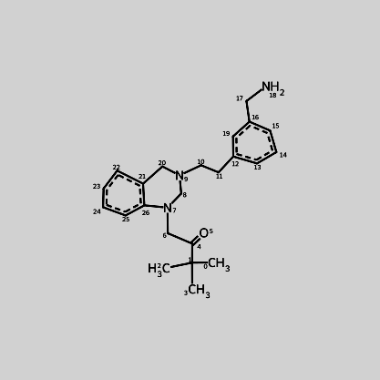 CC(C)(C)C(=O)CN1CN(CCc2cccc(CN)c2)Cc2ccccc21